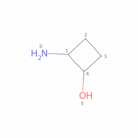 NC1CC[C]1O